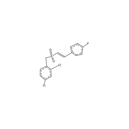 O=S(=O)(C=Cc1ccc(F)cc1)Cc1ccc(Cl)cc1Cl